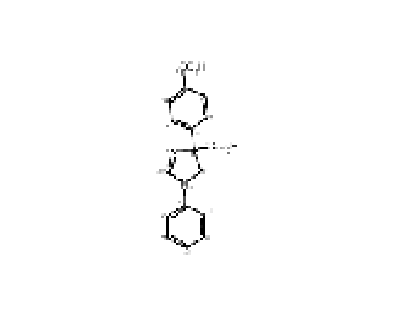 O=C(O)c1ccc(C2(C(=O)O)CN(c3ccccc3)N=N2)cc1